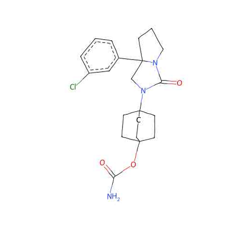 NC(=O)OC12CCC(N3CC4(c5cccc(Cl)c5)CCCN4C3=O)(CC1)CC2